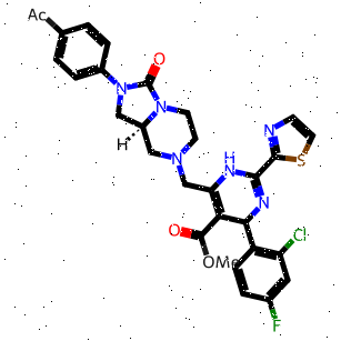 COC(=O)C1=C(CN2CCN3C(=O)N(c4ccc(C(C)=O)cc4)C[C@@H]3C2)NC(c2nccs2)=NC1c1ccc(F)cc1Cl